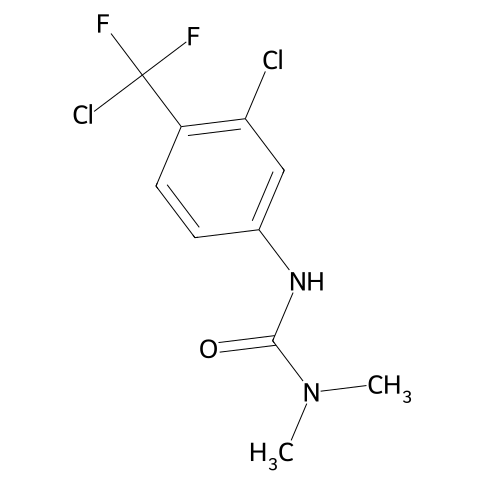 CN(C)C(=O)Nc1ccc(C(F)(F)Cl)c(Cl)c1